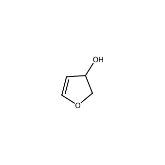 OC1C=COC1